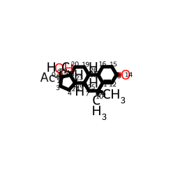 CC(=O)[C@@]1(O)CC[C@H]2[C@@H]3CC(C)(C)C4=CC(=O)CC[C@@H]4[C@H]3CC[C@@]21C